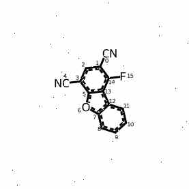 N#Cc1cc(C#N)c2oc3ccccc3c2c1F